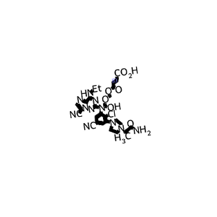 CCNc1nc(N(c2cc(C#N)cc(N3CCN([C@@H](C)C(N)=O)CC3)c2Cl)C(O)OCOC(=O)/C=C/C(=O)O)nn2c(C#N)cnc12